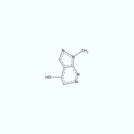 Cn1ncc2c(O)cnnc21